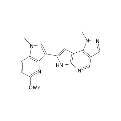 COc1ccc2c(n1)c(-c1cc3c(ncc4cnn(C)c43)[nH]1)cn2C